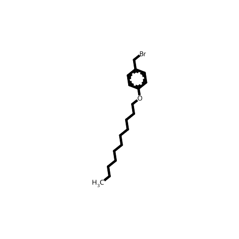 CCCCCCCCCCCOc1ccc(CBr)cc1